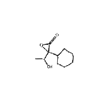 CC(O)C1(C2CCCCC2)OC1=O